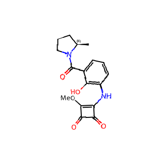 COc1c(Nc2cccc(C(=O)N3CCC[C@H]3C)c2O)c(=O)c1=O